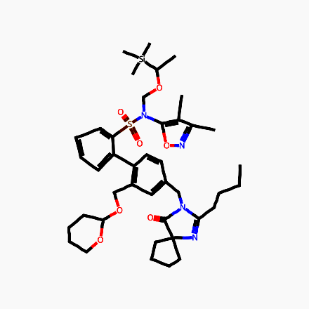 CCCCC1=NC2(CCCC2)C(=O)N1Cc1ccc(-c2ccccc2S(=O)(=O)N(COC(C)[Si](C)(C)C)c2onc(C)c2C)c(COC2CCCCO2)c1